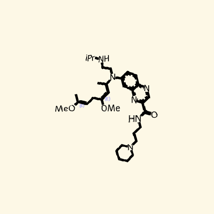 CO/C(C)=C/C/C(=C\C(C)N(CCNC(C)C)c1ccc2ncc(C(=O)NCCCN3CCCCC3)nc2c1)OC